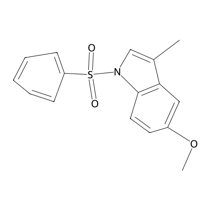 COc1ccc2c(c1)c(C)cn2S(=O)(=O)c1ccccc1